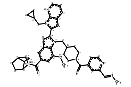 C/N=C/c1cc(C(=O)N2CCC(Cn3c(-c4cc5cccnc5n4CC4CC4)nc4cc(C(=O)N5CC6CCC5[C@@H]6N)cc(OC)c43)CC2)ccn1